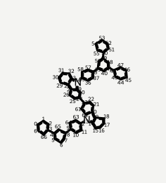 c1ccc(-c2cccc(-c3ccc(-n4c5ccccc5c5ccc(-c6ccc7c8ccccc8n(-c8ccc(-c9cc(-c%10ccccc%10)cc(-c%10ccccc%10)c9)cc8)c7c6)cc54)cc3)c2)cc1